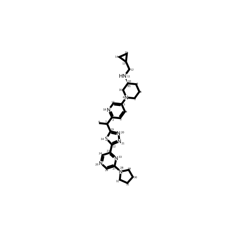 CC(c1ccc(N2CCC[C@@H](NCC3CC3)C2)cn1)c1nnc(-c2cncc(N3CCCC3)n2)s1